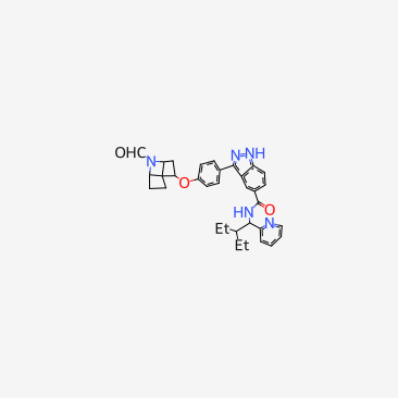 CCC(CC)C(NC(=O)c1ccc2[nH]nc(-c3ccc(OC4CC5N(C=O)C6CCC465)cc3)c2c1)c1ccccn1